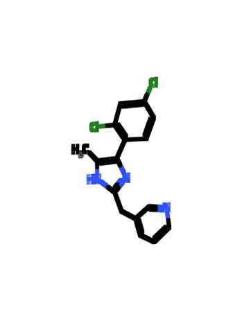 Cc1[nH]c(Cc2cccnc2)nc1-c1ccc(Cl)cc1Cl